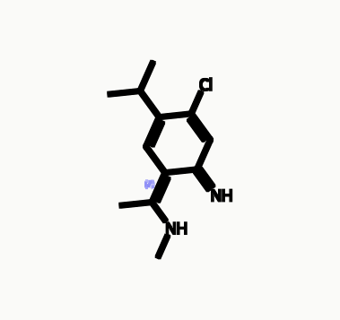 CN/C(C)=C1/C=C(C(C)C)C(Cl)=CC1=N